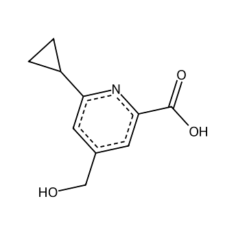 O=C(O)c1cc(CO)cc(C2CC2)n1